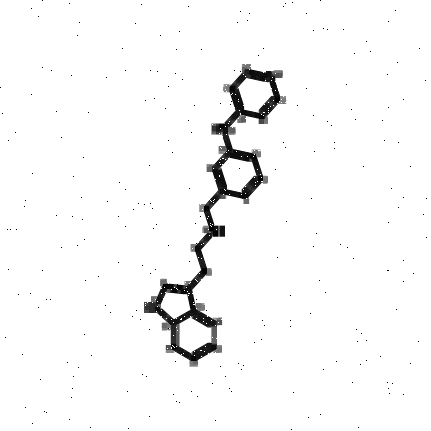 c1cc(CNCCc2c[nH]c3ccccc23)cc(Nc2ccncc2)c1